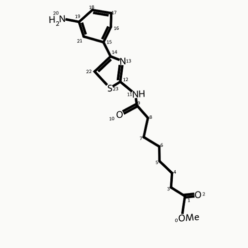 COC(=O)CCCCCCC(=O)Nc1nc(-c2cccc(N)c2)cs1